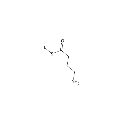 NCCCC(=O)SI